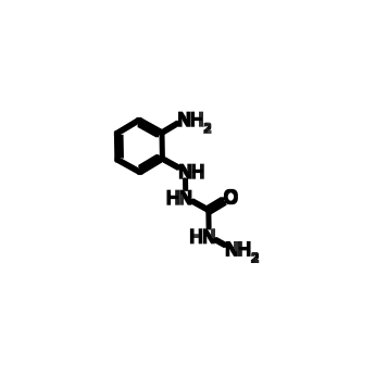 NNC(=O)NNc1ccccc1N